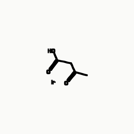 CC(=O)CC(=O)O.[Ir]